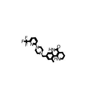 Cc1cc(CN2CCN(c3cccc(C(F)(F)F)n3)CC2)cc2[nH]c(=O)c3c(c12)NCCC3